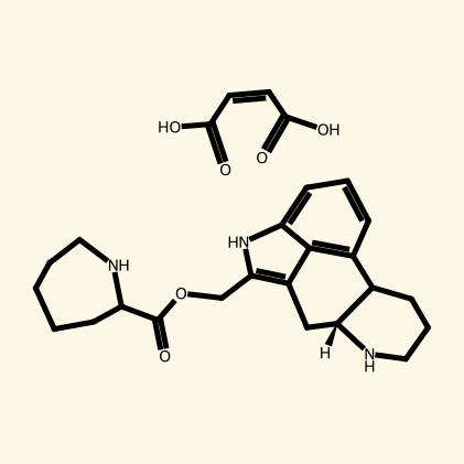 O=C(O)/C=C\C(=O)O.O=C(OCc1[nH]c2cccc3c2c1C[C@H]1NCCCC31)C1CCCCCN1